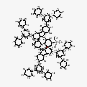 FC(F)(F)c1ccc(-c2ccncc2-n2c3ccc(-c4nc(-c5ccccc5)nc(-c5ccccc5)n4)cc3c3cc(-c4nc(-c5ccccc5)nc(-c5ccccc5)n4)ccc32)c(-n2c3ccc(-c4nc(-c5ccccc5)nc(-c5ccccc5)n4)cc3c3cc(-c4nc(-c5ccccc5)nc(-c5ccccc5)n4)ccc32)c1